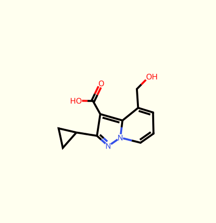 O=C(O)c1c(C2CC2)nn2cccc(CO)c12